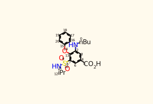 CCCCNc1cc(C(=O)O)cc(S(=O)(=O)NC(C)C)c1Oc1ccccc1